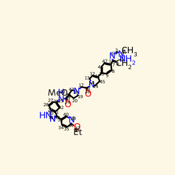 C=C(/N=C\N(C)N)c1ccc(C2=CCN(C(=O)CN3CC[C@@](OC)(C(=O)Nc4ccc5[nH]nc(-c6ccc(OCC)nc6)c5c4)C3)CC2)cc1